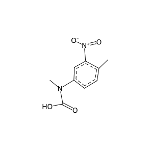 Cc1ccc(N(C)C(=O)O)cc1[N+](=O)[O-]